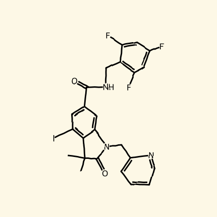 CC1(C)C(=O)N(Cc2ccccn2)c2cc(C(=O)NCc3c(F)cc(F)cc3F)cc(I)c21